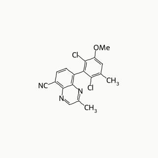 COc1cc(C)c(Cl)c(-c2ccc(C#N)c3ncc(C)nc23)c1Cl